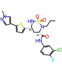 CCCN1[C@H](C(=O)Nc2ccc(F)c(Cl)c2)C[C@H](c2ccc(-c3cnn(C)c3)s2)NS1(=O)=O